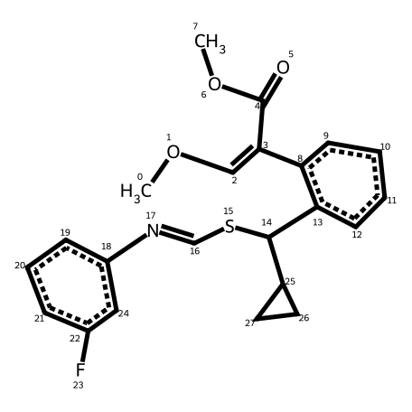 COC=C(C(=O)OC)c1ccccc1C(SC=Nc1cccc(F)c1)C1CC1